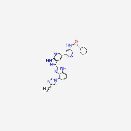 Cc1cn(-c2cccc3[nH]c(-c4n[nH]c5ncc(-c6cncc(NC7OC7C7CCCCC7)c6)cc45)nc23)cn1